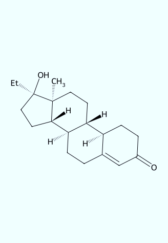 CC[C@@]1(O)CC[C@H]2[C@@H]3CCC4=CC(=O)CC[C@@H]4[C@H]3CC[C@@]21C